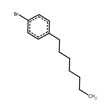 [CH2]CCCCCCc1ccc(Br)cc1